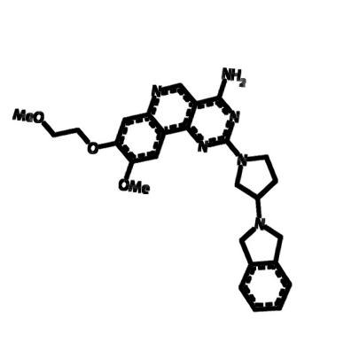 COCCOc1cc2ncc3c(N)nc(N4CCC(N5Cc6ccccc6C5)C4)nc3c2cc1OC